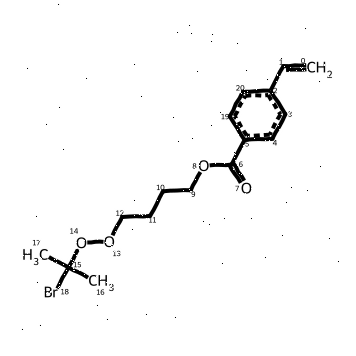 C=Cc1ccc(C(=O)OCCCCOOC(C)(C)Br)cc1